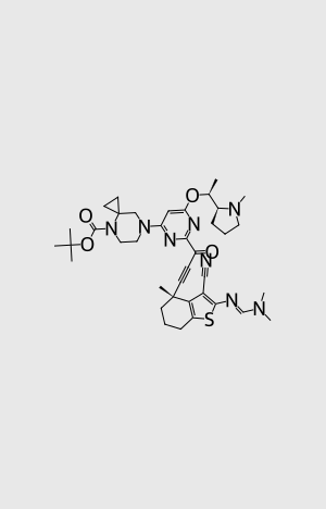 C[C@H](Oc1cc(N2CCN(C(=O)OC(C)(C)C)C3(CC3)C2)nc(C(=O)C#C[C@@]2(C)CCCc3sc(/N=C/N(C)C)c(C#N)c32)n1)[C@@H]1CCCN1C